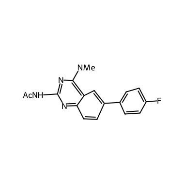 CNc1nc(NC(C)=O)nc2ccc(-c3ccc(F)cc3)cc12